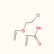 C=CC(=O)O.C=COCCCl